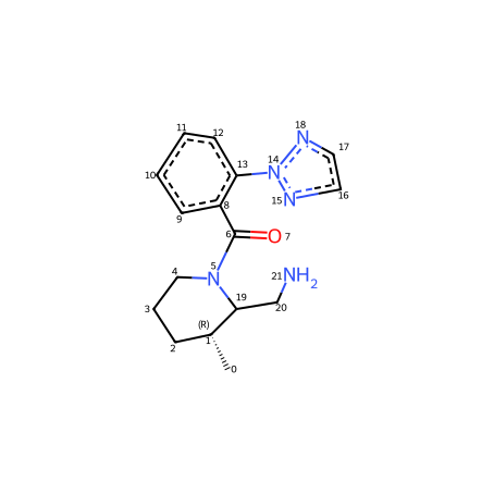 C[C@@H]1CCCN(C(=O)c2ccccc2-n2nccn2)C1CN